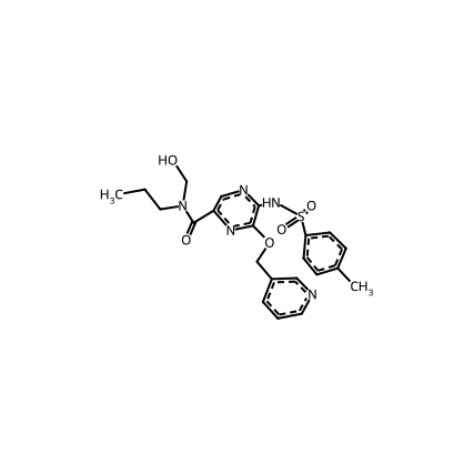 CCCN(CO)C(=O)c1cnc(NS(=O)(=O)c2ccc(C)cc2)c(OCc2cccnc2)n1